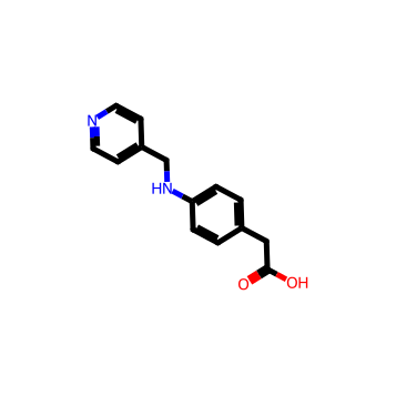 O=C(O)Cc1ccc(NCc2ccncc2)cc1